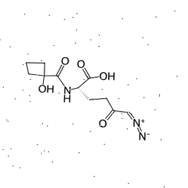 [N-]=[N+]=CC(=O)CC[C@H](NC(=O)C1(O)CCC1)C(=O)O